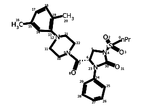 CCCS(=O)(=O)N1C[C@@H](C(=O)N2CCN(c3cc(C)ccc3C)CC2)N(c2ccccc2)C1=O